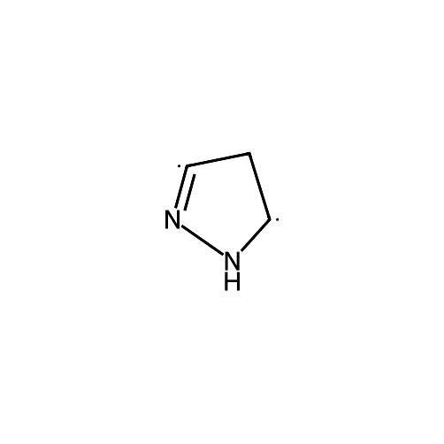 [C]1=NN[CH]C1